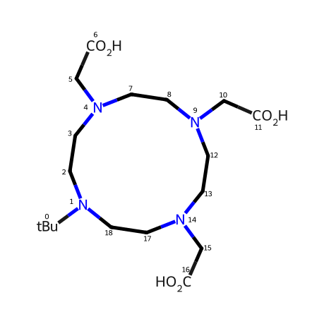 CC(C)(C)N1CCN(CC(=O)O)CCN(CC(=O)O)CCN(CC(=O)O)CC1